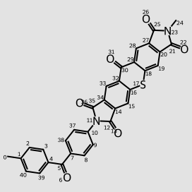 Cc1ccc(C(=O)c2ccc(-n3c(=O)c4cc5sc6cc7c(=O)n(C)c(=O)c7cc6c(=O)c5cc4c3=O)cc2)cc1